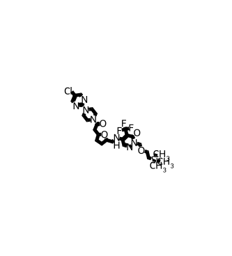 C[Si](C)(C)CCOCn1ncc(NCC2CCC(CC(=O)N3CCN(c4ncc(Cl)cn4)CC3)O2)c(C(F)(F)F)c1=O